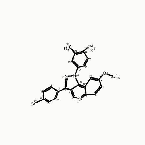 COc1ccc2ncc3c(-c4ccc(Br)cc4)nn(-c4ccc(C)c(C)c4)c3c2c1